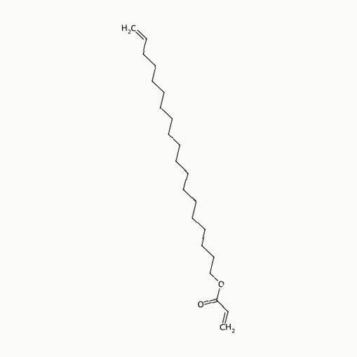 C=CCCCCCCCCCCCCCCCCCOC(=O)C=C